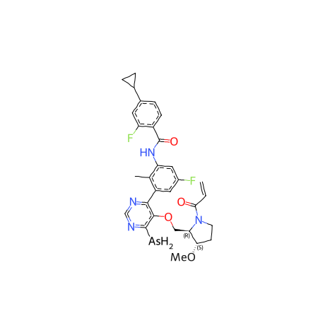 C=CC(=O)N1CC[C@H](OC)[C@H]1COc1c([AsH2])ncnc1-c1cc(F)cc(NC(=O)c2ccc(C3CC3)cc2F)c1C